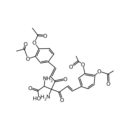 CC(=O)Oc1ccc(/C=C/C(=O)C(N)(C(=O)/C=C/c2ccc(OC(C)=O)c(OC(C)=O)c2)C(N)C(=O)O)cc1OC(C)=O